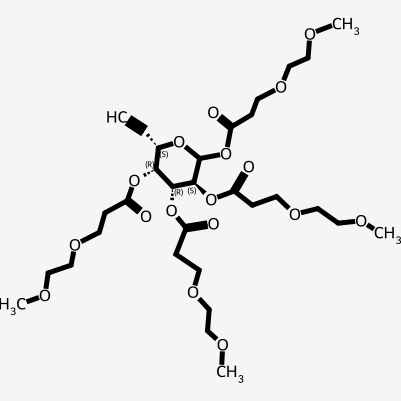 C#C[C@@H]1OC(OC(=O)CCOCCOC)[C@@H](OC(=O)CCOCCOC)[C@H](OC(=O)CCOCCOC)[C@@H]1OC(=O)CCOCCOC